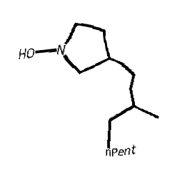 CCCCCCC(C)CC1CCN(O)C1